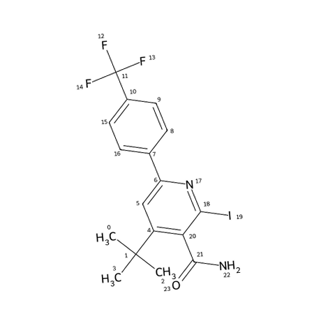 CC(C)(C)c1cc(-c2ccc(C(F)(F)F)cc2)nc(I)c1C(N)=O